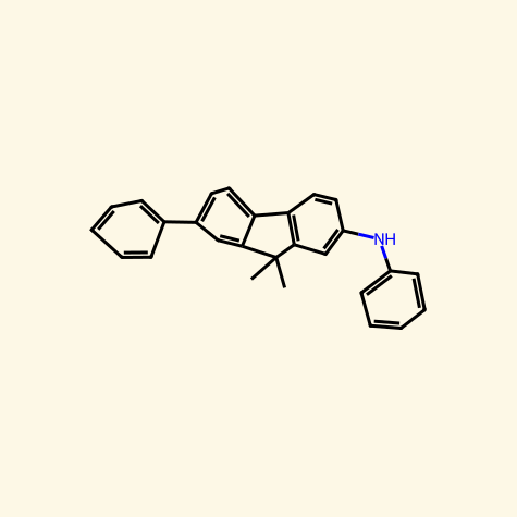 CC1(C)c2cc(Nc3ccccc3)ccc2-c2ccc(-c3ccccc3)cc21